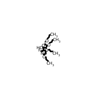 CCCCOC[C@H]1OC(O)(c2ccc(OCCCC)nc2F)[C@@H](OCCCC)C1OCCCC